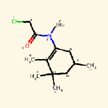 CC1=C(N(C(=O)CCl)C(C)(C)C)CC(C)CC1(C)C